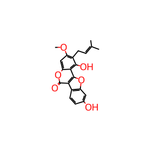 COc1cc2oc(=O)c3c4ccc(O)cc4oc3c2c(O)c1CC=C(C)C